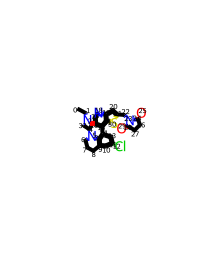 CCN1CC(N2CCCc3cc(Cl)cc(-c4ccnc5cc(CN6C(=O)CCC6=O)sc45)c32)C1